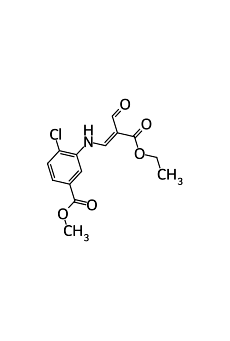 CCOC(=O)/C(C=O)=C/Nc1cc(C(=O)OC)ccc1Cl